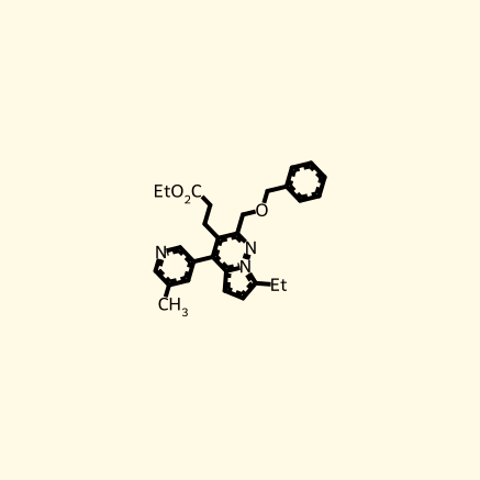 CCOC(=O)CCc1c(COCc2ccccc2)nn2c(CC)ccc2c1-c1cncc(C)c1